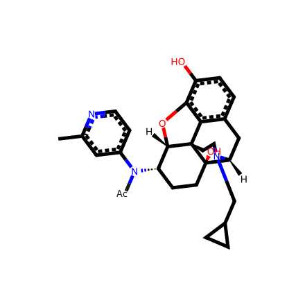 CC(=O)N(c1ccnc(C)c1)[C@H]1CC[C@@]2(O)[C@H]3Cc4ccc(O)c5c4[C@@]2(CCN3CC2CC2)[C@H]1O5